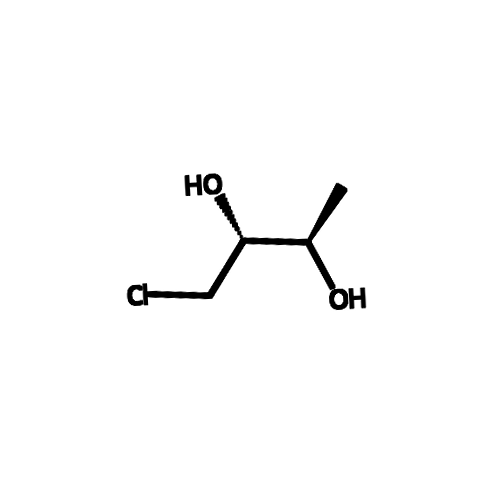 C[C@@H](O)[C@@H](O)CCl